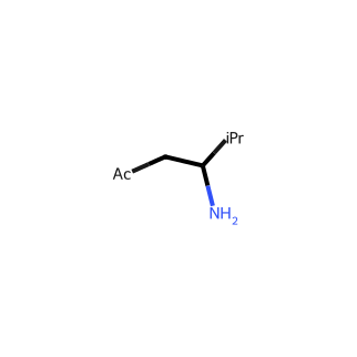 CC(=O)CC(N)C(C)C